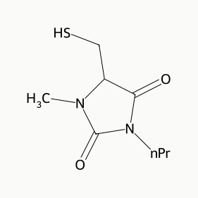 CCCN1C(=O)C(CS)N(C)C1=O